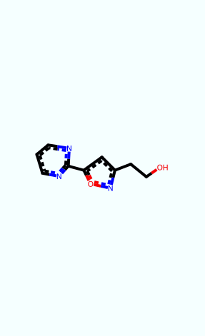 OCCc1cc(-c2ncccn2)on1